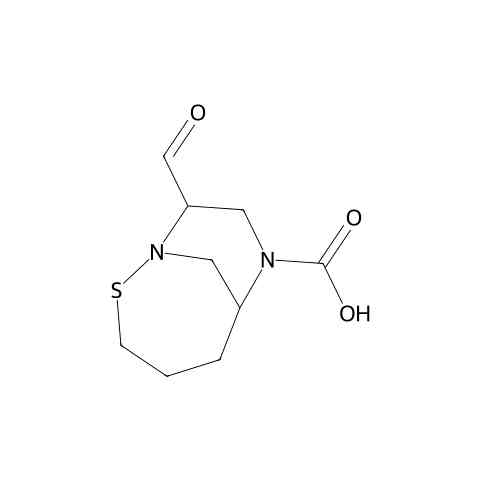 O=CC1CN(C(=O)O)C2CCCSN1C2